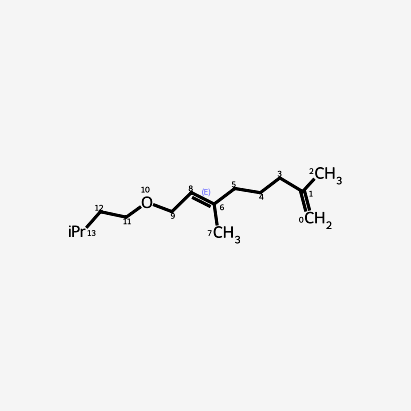 C=C(C)CCC/C(C)=C/COCCC(C)C